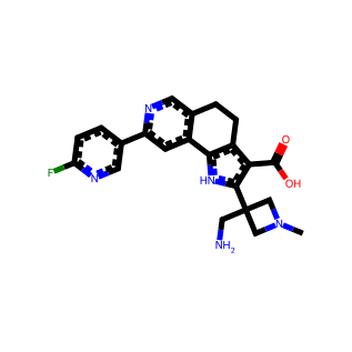 CN1CC(CN)(c2[nH]c3c(c2C(=O)O)CCc2cnc(-c4ccc(F)nc4)cc2-3)C1